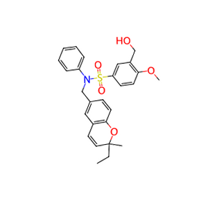 CCC1(C)C=Cc2cc(CN(c3ccccc3)S(=O)(=O)c3ccc(OC)c(CO)c3)ccc2O1